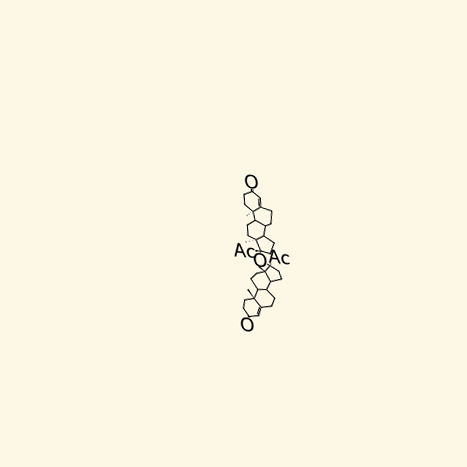 CC(=O)[C@]1(O[C@@]2(C(C)=O)CCC3C4CCC5=CC(=O)CC[C@]5(C)C4CC[C@@]32C)CCC2C3CCC4=CC(=O)CC[C@]4(C)C3CC[C@@]21C